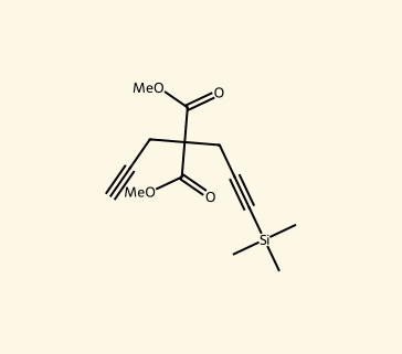 C#CCC(CC#C[Si](C)(C)C)(C(=O)OC)C(=O)OC